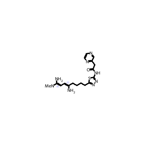 CN/C(N)=C/C=C(\N)CCCCc1nnc(NC(=O)Cc2cnccn2)s1